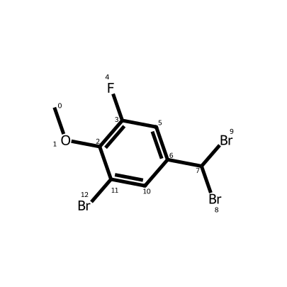 COc1c(F)cc(C(Br)Br)cc1Br